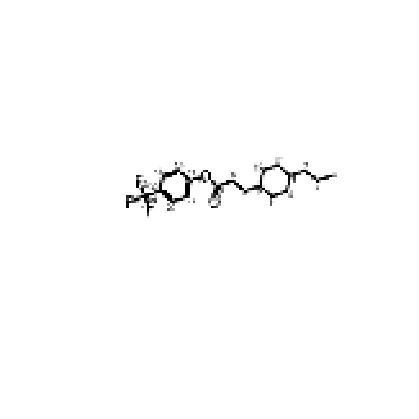 CCCC1CCC(CCC(=O)Oc2ccc(C(F)(F)F)cc2)CC1